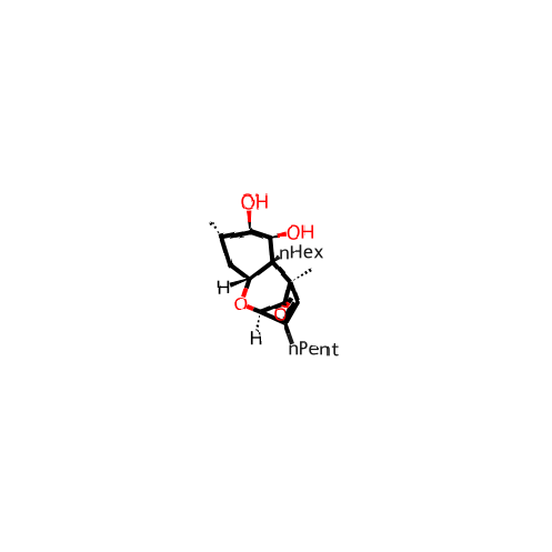 CCCCCC[C@]12[C@H](O)[C@H](O)[C@@H](C)C[C@H]1O[C@@H]1C(CCCCC)=C[C@@]2(C)[C@]12CO2